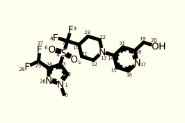 Cn1cc(S(=O)(=O)C(F)(F)C2CCN(c3ccnc(CO)c3)CC2)c(C(F)F)n1